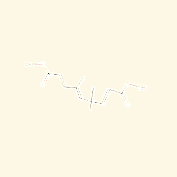 CC(/C=C/C(=O)OC(C)(C)C)=C\C(C)(C)/C=C/C(=O)OC(C)(C)C